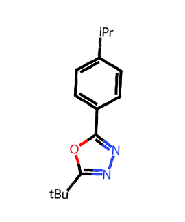 CC(C)c1ccc(-c2nnc(C(C)(C)C)o2)cc1